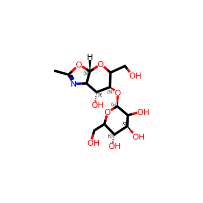 CC1=NC2[C@H](O1)OC(CO)[C@@H](O[C@@H]1OC(CO)[C@@H](O)[C@H](O)C1O)[C@@H]2O